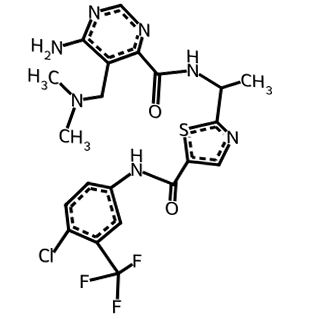 CC(NC(=O)c1ncnc(N)c1CN(C)C)c1ncc(C(=O)Nc2ccc(Cl)c(C(F)(F)F)c2)s1